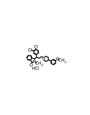 COc1cccc(C2CCN(CCC(c3ccc(Cl)c(Cl)c3)C3c4ccccc4C(=O)N3C)CC2)c1.Cl